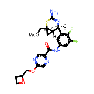 COC[C@]12C[C@H]1[C@](C)(c1cc(NC(=O)c3cnc(OCC4CCO4)cn3)cc(F)c1F)N=C(N)S2